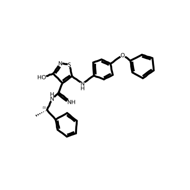 C[C@H](NC(=N)c1c(O)nsc1Nc1ccc(Oc2ccccc2)cc1)c1ccccc1